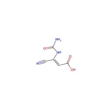 N#CC(=CC(=O)O)NC(N)=O